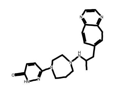 CC(CC1=CCc2nccnc2C=C1)NN1CCCN(c2ccc(=O)[nH]n2)CC1